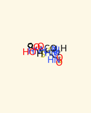 CS(=O)(=O)NCCCCC(Sc1nnn[nH]1)C1=C(C(=O)O)N2C(=O)[C@@H](NC(=O)C(O)c3ccccc3)[C@@H]2SC1